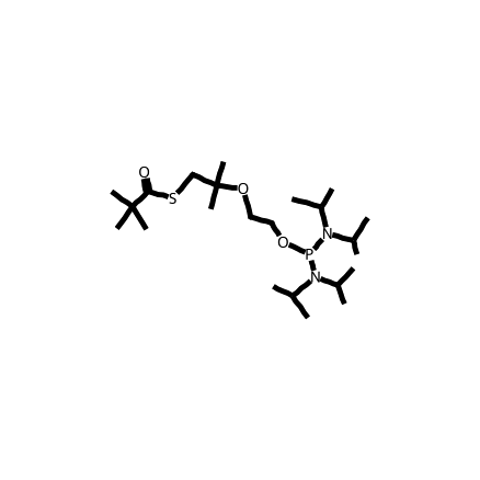 CC(C)N(C(C)C)P(OCCOC(C)(C)CSC(=O)C(C)(C)C)N(C(C)C)C(C)C